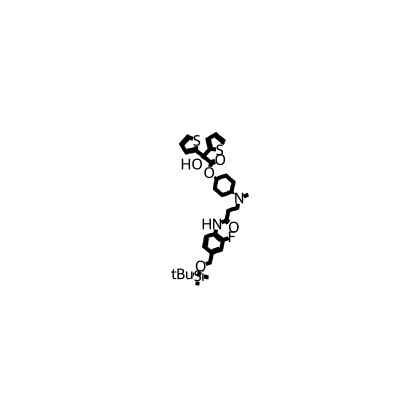 CN(CCC(=O)Nc1ccc(CO[Si](C)(C)C(C)(C)C)cc1F)[C@H]1CC[C@H](OC(=O)C(O)(c2cccs2)c2cccs2)CC1